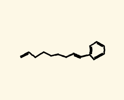 C=CCCCCCC=Cc1ccccc1